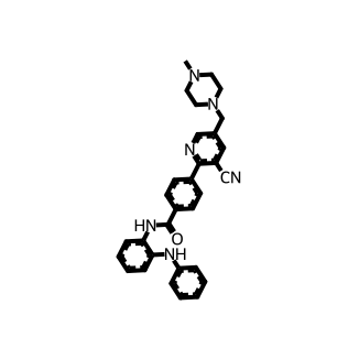 CN1CCN(Cc2cnc(-c3ccc(C(=O)Nc4ccccc4Nc4ccccc4)cc3)c(C#N)c2)CC1